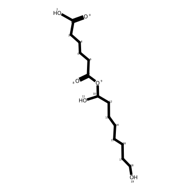 O=C(O)CCCCC(=O)OC(O)CCCCCCCO